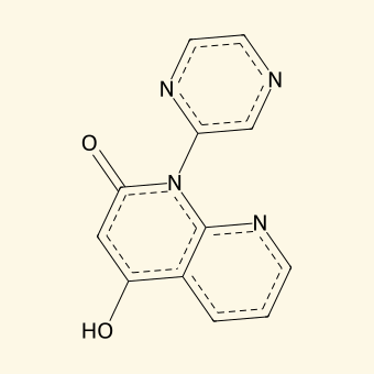 O=c1cc(O)c2cccnc2n1-c1cnccn1